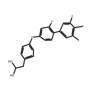 OC(O)Cc1ccc(Oc2ccc(-c3cc(F)c(F)c(F)c3)c(F)c2)cc1